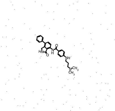 CN(C)CCCNc1ccc(C(=O)Nc2ccc(-c3ccccc3)c3c2C(=O)NC3)cc1